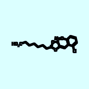 COc1cccc(Cl)c1C=C1ON(CCCCCCC(=O)O)OS1